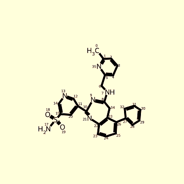 Cc1cccc(CNC2=NC(c3cncc(S(N)(=O)=O)c3)=Nc3cccc(-c4ccccc4)c3C2)n1